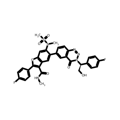 CNC(=O)c1c(-c2ccc(F)cc2)oc2cc(N(C)S(C)(=O)=O)c(-c3ccc4nnn([C@H](CO)c5ccc(F)cc5)c(=O)c4c3)cc12